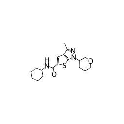 Cc1nn(C2CCCOC2)c2sc(C(=O)NC3CCCCC3)cc12